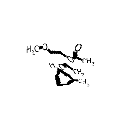 C=CC.COCCOC(C)=O.Cc1ccccc1